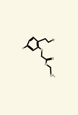 CCOC(=O)COc1cc(F)ccc1CCBr